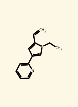 C=Cc1cc(-c2ccccn2)cn1CC